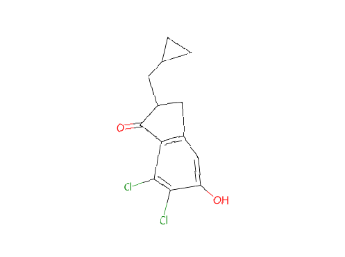 O=C1c2c(cc(O)c(Cl)c2Cl)CC1CC1CC1